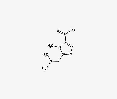 CN(C)Cc1ncc(C(=O)O)n1C